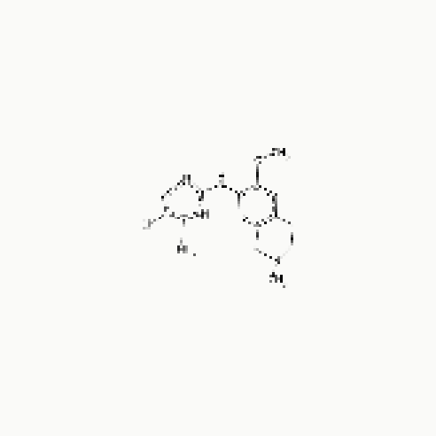 COc1cc2c(cc1Nc1ncc(Cl)c(N)n1)CN(C)CC2